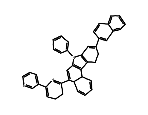 C1=CC2C(C3=NC(c4cccnc4)=CCC3)=Cc3c(c4c(n3-c3ccccc3)C=C(c3ccc5ccccc5c3)CC4)C2C=C1